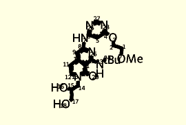 COCCOc1cc(Nc2cc3ccn(CC(O)CO)c(=O)c3c(NC(C)(C)C)n2)ncn1